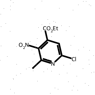 CCOC(=O)c1cc(Cl)nc(C)c1[N+](=O)[O-]